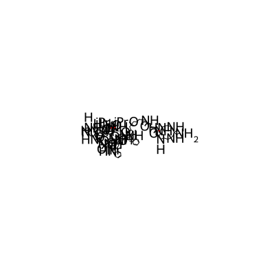 CC(C)C[C@H](NC(=O)C[C@H](O)[C@H](CC(C)C)NC(=O)[C@H](Cc1c[nH]cn1)NC(=O)CNC(=O)[C@@H](NC(=O)[C@H](C)NC(=O)[C@H](Cc1c[nH]c2ccccc12)NC(=O)[C@H](CCC(N)=O)NC(=O)[C@@H](Cc1ccccc1)NC(=O)CCC(C)(C)OCCC(C)(C)NC(=O)CCCC(=O)NC12CNCCNCC(C)(CN)CNCC(C1)NC2)C(C)C)C(N)=O